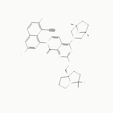 [2H]C1([2H])CC[C@@]2(COc3nc(N4C[C@H]5CC[C@@H](C4)N5)c4ccn(-c5cc(O)cc6ccc(F)c(C#C)c56)c(=O)c4n3)C[C@@H](F)CN12